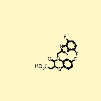 O=C(O)CC1Sc2ccc(F)cc2N(Cc2nc3c(F)ccc(F)c3s2)C1=O